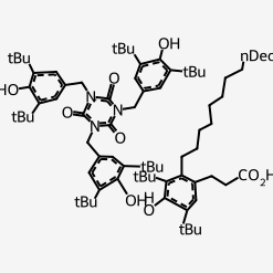 CC(C)(C)c1cc(Cn2c(=O)n(Cc3cc(C(C)(C)C)c(O)c(C(C)(C)C)c3)c(=O)n(Cc3cc(C(C)(C)C)c(O)c(C(C)(C)C)c3)c2=O)cc(C(C)(C)C)c1O.CCCCCCCCCCCCCCCCCCc1c(CCC(=O)O)cc(C(C)(C)C)c(O)c1C(C)(C)C